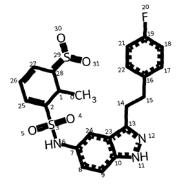 CC1C(S(=O)(=O)Nc2ccc3[nH]nc(CCc4ccc(F)cc4)c3c2)=CC=CC1=S(=O)=O